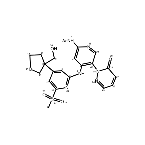 CC(=O)Nc1cc(Nc2cc(C3(CO)CCOC3)cc(S(C)(=O)=O)n2)c(-n2ncccc2=O)cn1